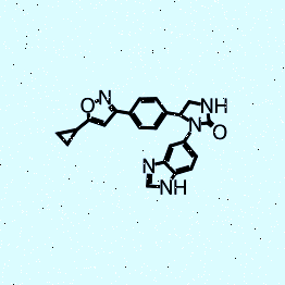 O=C1NCC(c2ccc(-c3cc(C4CC4)on3)cc2)N1c1ccc2[nH]cnc2c1